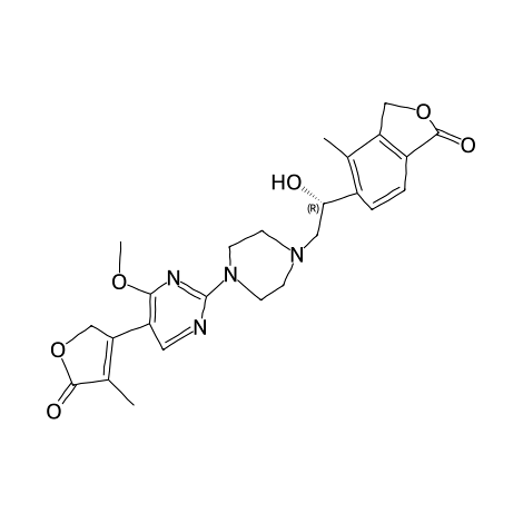 COc1nc(N2CCN(C[C@H](O)c3ccc4c(c3C)COC4=O)CC2)ncc1C1=C(C)C(=O)OC1